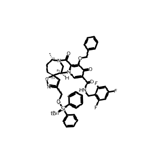 C[C@H]1CC[C@]2(CC(CO[Si](c3ccccc3)(c3ccccc3)C(C)(C)C)=NO2)[C@H]2CN1C(=O)c1c(OCc3ccccc3)c(=O)c(C(=O)NCc3c(F)cc(F)cc3F)cn12